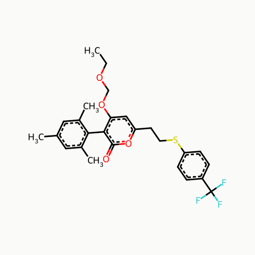 CCOCOc1cc(CCSc2ccc(C(F)(F)F)cc2)oc(=O)c1-c1c(C)cc(C)cc1C